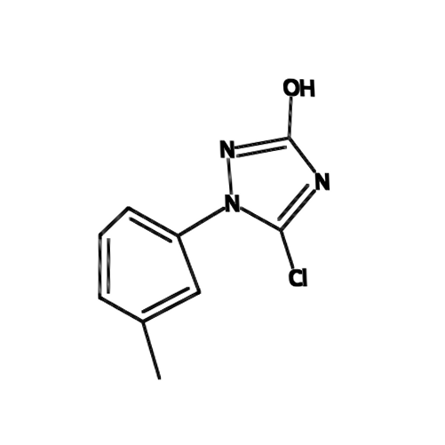 Cc1cccc(-n2nc(O)nc2Cl)c1